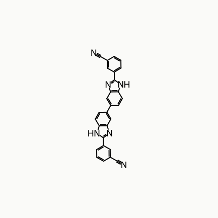 N#Cc1cccc(-c2nc3cc(-c4ccc5[nH]c(-c6cccc(C#N)c6)nc5c4)ccc3[nH]2)c1